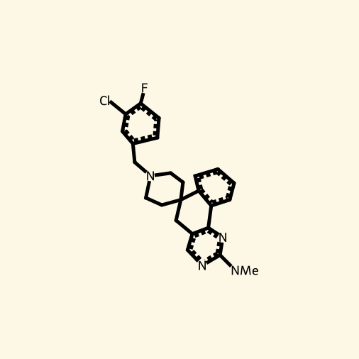 CNc1ncc2c(n1)-c1ccccc1C1(CCN(Cc3ccc(F)c(Cl)c3)CC1)C2